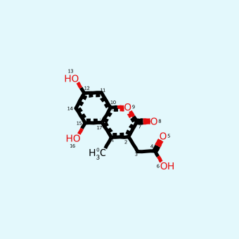 Cc1c(CC(=O)O)c(=O)oc2cc(O)cc(O)c12